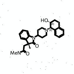 CNC(=O)C[C@@]1(C)C(=O)N(C2CCN([C@@H]3c4ccccc4CC[C@H]3O)CC2)c2ccccc21